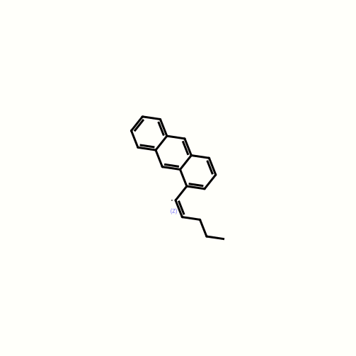 CCC/C=[C]\c1cccc2cc3ccccc3cc12